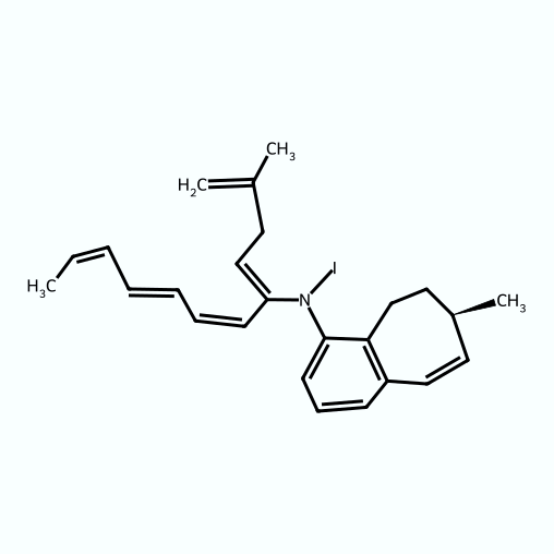 C=C(C)C/C=C(/C=C\C=C\C=C/C)N(I)c1cccc2c1CC[C@@H](C)C=C2